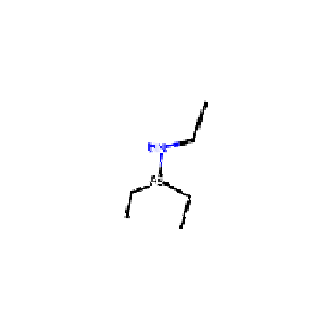 CCN[As](CC)CC